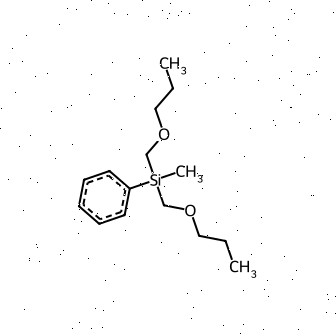 CCCOC[Si](C)(COCCC)c1ccccc1